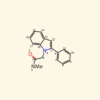 CNC(=O)Cn1c(-c2ccccc2)cc2ccccc21